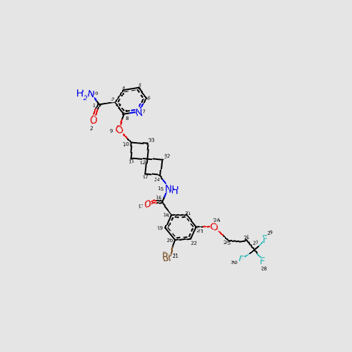 NC(=O)c1cccnc1OC1CC2(CC(NC(=O)c3cc(Br)cc(OCCC(F)(F)F)c3)C2)C1